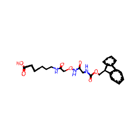 O=C(O)CCCCCNC(=O)CONC(=O)CNC(=O)OCC1c2ccccc2-c2ccccc21